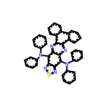 c1ccc(N(c2ccccc2)c2c3nsnc3c(N(c3ccccc3)c3ccccc3)c3nc4c5ccccc5c5ccccc5c4nc23)cc1